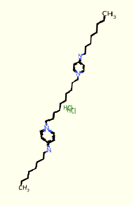 CCCCCCCCN=c1ccn(CCCCCCCCCCn2ccc(=NCCCCCCCC)cc2)cc1.Cl.Cl